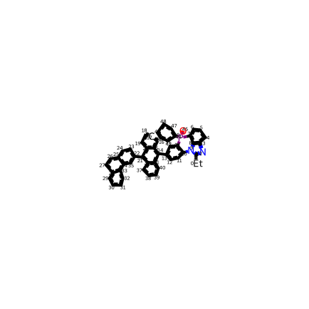 CCc1nc2cccc3c2n1-c1ccc(-c2c4ccccc4c(-c4ccc5ccc6ccccc6c5c4)c4ccccc24)cc1P3(=O)c1ccccc1